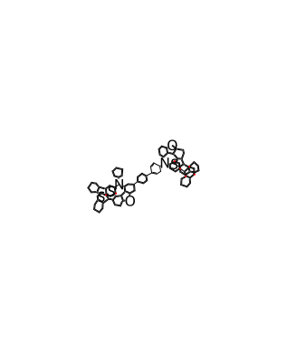 C1=CC(N(c2ccc(-c3cccc4ccccc34)cc2)c2cccc3oc4ccc5c(sc6ccc7ccccc7c65)c4c23)CC=C1c1ccc(-c2cc(N(c3ccccc3)c3ccc4sc5ccccc5c4c3)c3c(c2)oc2ccc4c(sc5ccc6ccccc6c54)c23)cc1